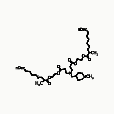 CCCCCCCCCCCCCCSCC(C)C(=O)OCCOC(=O)CCN(CCC(=O)OCCOC(=O)C(C)CSCCCCCCCCCCCCCC)CC1CCN(C)CC1